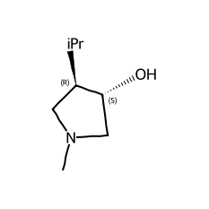 CC(C)[C@@H]1CN(C)C[C@H]1O